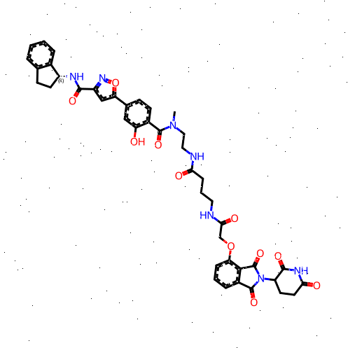 CN(CCNC(=O)CCCNC(=O)COc1cccc2c1C(=O)N(C1CCC(=O)NC1=O)C2=O)C(=O)c1ccc(-c2cc(C(=O)N[C@@H]3CCc4ccccc43)no2)cc1O